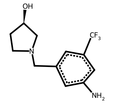 Nc1cc(CN2CC[C@@H](O)C2)cc(C(F)(F)F)c1